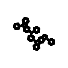 c1ccc(N(c2cccc(-n3c4ccccc4c4cc5c(ccn5-c5ccccc5)cc43)c2)c2ccc3c(c2)c2ccccc2n3-c2ccccc2)cc1